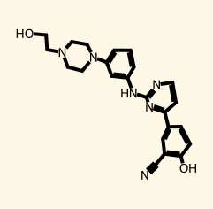 N#Cc1cc(-c2ccnc(Nc3cccc(N4CCN(CCO)CC4)c3)n2)ccc1O